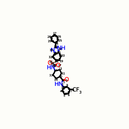 O=C(Nc1cccc(C(F)(F)F)c1)C1CCC(NS(=O)(=O)c2ccc3[nH]c(-c4ccccc4)nc3c2)CC1